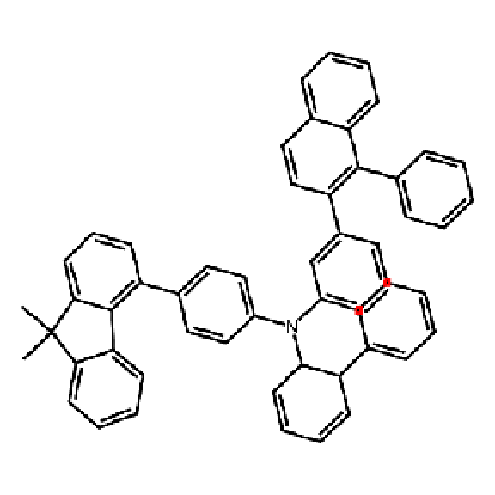 CC1(C)c2ccccc2-c2c(-c3ccc(N(c4cccc(-c5ccc6ccccc6c5-c5ccccc5)c4)C4C=CC=CC4c4ccccc4)cc3)cccc21